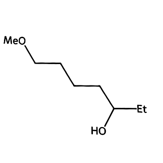 CCC(O)CCCCOC